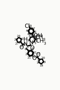 CC1(C)CN(C(=O)[C@@H](Cc2ccc(OC(=O)C3CCCC3)cc2)NC(=O)C2CCCC2)CC[C@]1(O)c1ccc(Cl)cc1